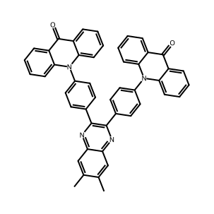 Cc1cc2nc(-c3ccc(-n4c5ccccc5c(=O)c5ccccc54)cc3)c(-c3ccc(-n4c5ccccc5c(=O)c5ccccc54)cc3)nc2cc1C